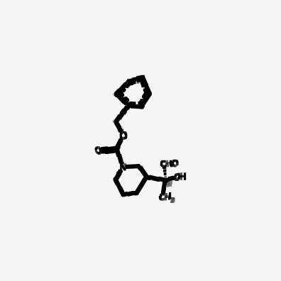 C[C@@](O)(C=O)C1CCCN(C(=O)OCc2ccccc2)C1